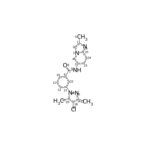 Cc1cn2cc(NC(=O)c3cccc(-n4nc(C)c(Cl)c4C)c3)ccc2n1